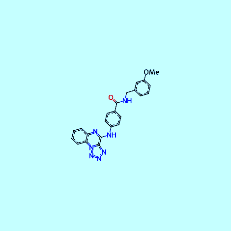 COc1cccc(CNC(=O)c2ccc(Nc3nc4ccccc4n4nnnc34)cc2)c1